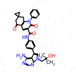 CC(C)(O)Cn1cc(-c2ccc(NC(=O)c3cc4c(n(-c5ccccc5)c3=O)CC3(CC3)CC4=O)cc2)c2c(N)ncnc21